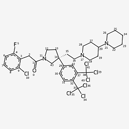 O=C(Cc1c(F)cccc1Cl)N1CC[C@@](CCN2CCC(N3CCCCC3)CC2)(c2ccc(C(Cl)(Cl)Cl)c(C(Cl)(Cl)Cl)c2)C1